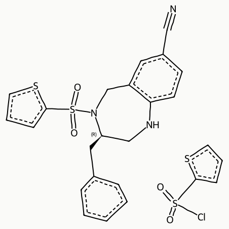 N#Cc1ccc2c(c1)CN(S(=O)(=O)c1cccs1)[C@H](Cc1ccccc1)CN2.O=S(=O)(Cl)c1cccs1